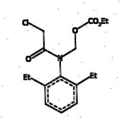 CCOC(=O)OCN(C(=O)CCl)c1c(CC)cccc1CC